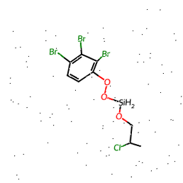 CC(Cl)CO[SiH2]OOc1ccc(Br)c(Br)c1Br